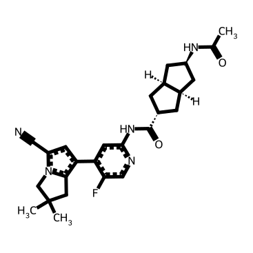 CC(=O)N[C@@H]1C[C@@H]2C[C@@H](C(=O)Nc3cc(-c4cc(C#N)n5c4CC(C)(C)C5)c(F)cn3)C[C@@H]2C1